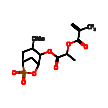 C=C(C(=O)OC(C)C(=O)OC1C(OC)CC2CC1OS2(=O)=O)C(F)(F)F